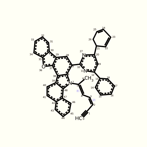 C#C/C=C\C=C(/C)n1c2c(-c3nc(-c4ccccc4)cc(C4C=CC=CC4)n3)cc3c4ccccc4oc3c2c2ccc3ccccc3c21